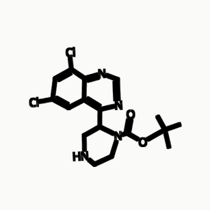 CC(C)(C)OC(=O)N1CCNCC1c1ncnc2c(Cl)cc(Cl)cc12